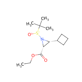 CCOC(=O)[C@H]1[C@@H](C2CCC2)N1[S+]([O-])C(C)(C)C